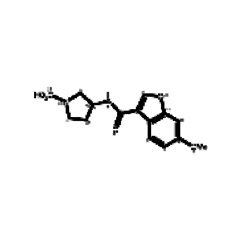 COc1ccc2c(C(=O)N[C@H]3CCN(C(=O)O)C3)coc2c1